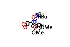 CCCCN(CCCC)C(=O)CN1C[C@H](c2ccc3c(c2)OCO3)[C@H](C(=O)O)[C@H]1c1ccc(OC)cc1OCCOC